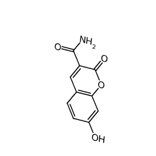 NC(=O)c1cc2ccc(O)cc2oc1=O